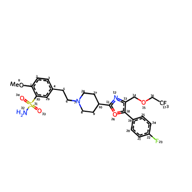 COc1ccc(CCN2CCC(c3nc(COCC(F)(F)F)c(-c4ccc(F)cc4)o3)CC2)cc1S(N)(=O)=O